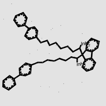 [InH2][CH](CCCCCCCc1ccc(-c2ccccc2)cc1)C1([CH]([InH2])CCCCCCCc2ccc(-c3ccccc3)cc2)c2ccccc2-c2ccccc21